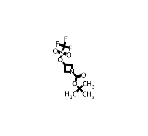 CC(C)(C)OC(=O)N1CC(OS(=O)(=O)C(F)(F)F)C1